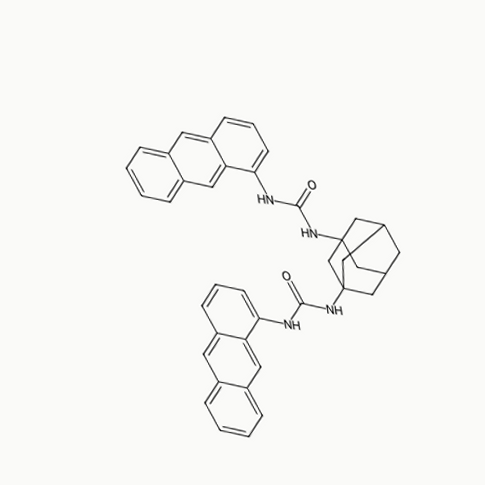 O=C(Nc1cccc2cc3ccccc3cc12)NC12CC3CC(C1)CC(NC(=O)Nc1cccc4cc5ccccc5cc14)(C3)C2